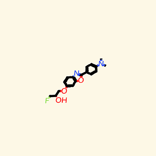 CN(C)c1ccc(-c2nc3ccc(OC[C@@H](O)CF)cc3o2)cc1